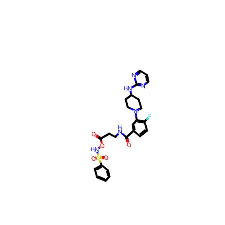 O=C(CCNC(=O)c1ccc(F)c(N2CCC(Nc3ncccn3)CC2)c1)ONS(=O)(=O)c1ccccc1